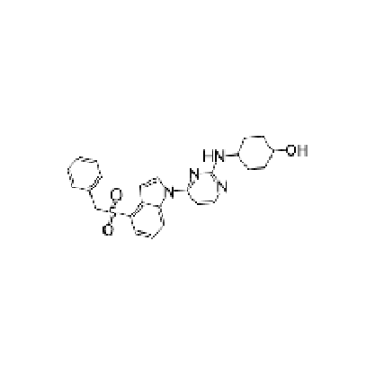 O=S(=O)(Cc1ccccc1)c1cccc2c1ccn2-c1ccnc(NC2CCC(O)CC2)n1